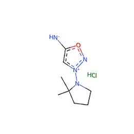 CC1(C)CCCN1[n+]1cc([NH-])on1.Cl